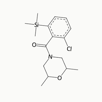 CC1CN(C(=O)c2c(Cl)cccc2[Si](C)(C)C)CC(C)O1